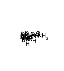 NC(=O)CCNC(=O)c1cnc2[nH]nc(N3CCC[C@@H]3c3cc(F)ccc3F)c2c1